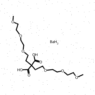 COCCOCCOCCC(CCOCCOCCOC)(C(=O)O)C(=O)O.[BaH2]